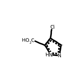 O=C(O)c1[nH]n[c]c1Cl